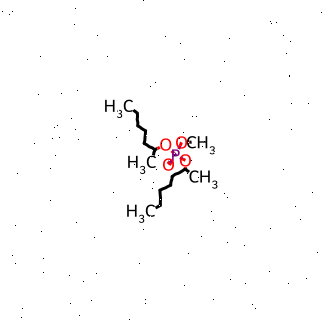 CCCCCC(C)OP(=O)(OC)OC(C)CCCCC